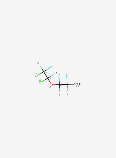 O=S(=O)(O)C(F)(F)C(F)(F)OC(F)(Cl)C(F)(F)Cl